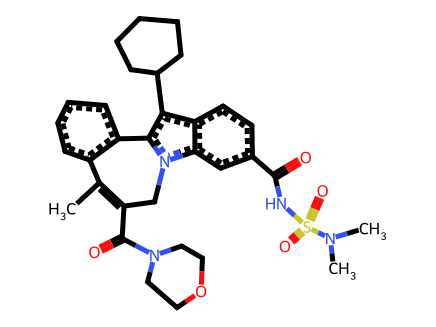 CC1=C(C(=O)N2CCOCC2)Cn2c(c(C3CCCCC3)c3ccc(C(=O)NS(=O)(=O)N(C)C)cc32)-c2ccccc21